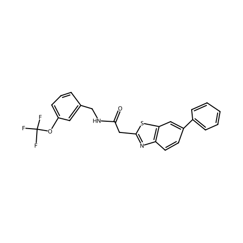 O=C(Cc1nc2ccc(-c3ccccc3)cc2s1)NCc1cccc(OC(F)(F)F)c1